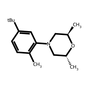 Cc1ccc(C(C)(C)C)cc1N1C[C@@H](C)O[C@H](C)C1